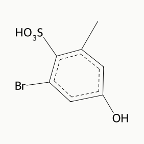 Cc1cc(O)cc(Br)c1S(=O)(=O)O